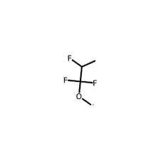 [CH2]OC(F)(F)C(C)F